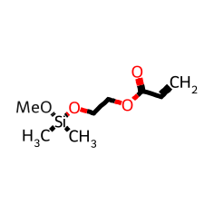 C=CC(=O)OCCO[Si](C)(C)OC